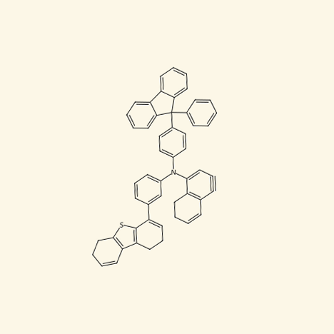 c1cc(N(c2ccc(C3(c4ccccc4)c4ccccc4-c4ccccc43)cc2)c2cccc(C3=CCCc4c3sc3c4C=CCC3)c2)c2c(c#1)C=CCC2